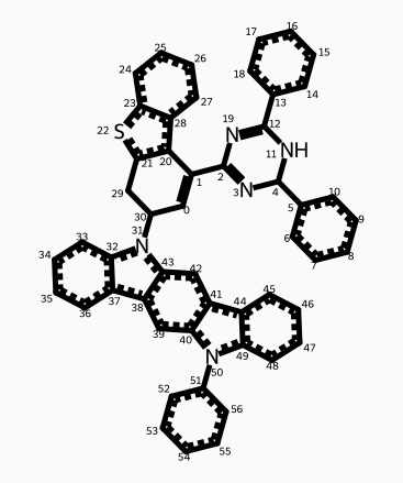 C1=C(C2=NC(c3ccccc3)NC(c3ccccc3)=N2)c2c(sc3ccccc23)CC1n1c2ccccc2c2cc3c(cc21)c1ccccc1n3-c1ccccc1